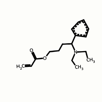 C=CC(=O)OCCCC(c1ccccc1)N(CC)CC